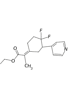 CCOC(=O)/C(C)=C1\CCC(F)(F)C(c2ccncc2)C1